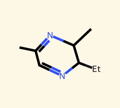 CCC1N=CC(C)=NC1C